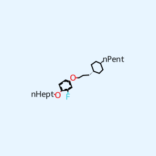 CCCCCCCOc1ccc(OCCC[C@H]2CC[C@H](CCCCC)CC2)cc1F